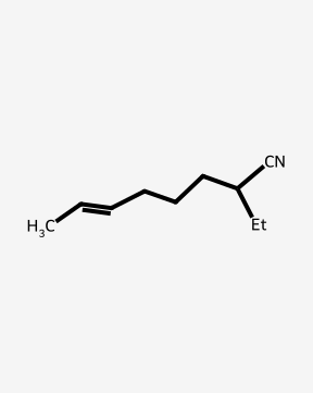 C/C=C/CCCC(C#N)CC